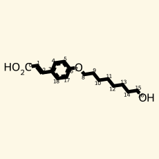 O=C(O)/C=C/c1ccc(OCCCCCCCCO)cc1